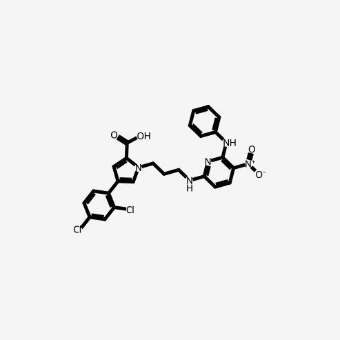 O=C(O)c1cc(-c2ccc(Cl)cc2Cl)cn1CCCNc1ccc([N+](=O)[O-])c(Nc2ccccc2)n1